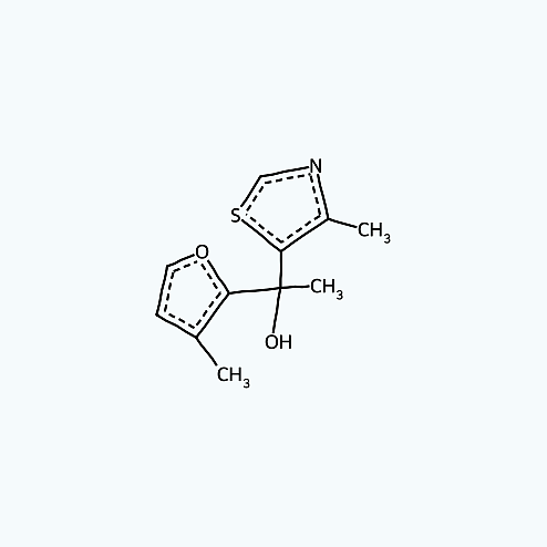 Cc1ccoc1C(C)(O)c1scnc1C